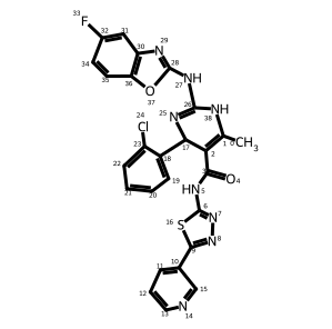 CC1=C(C(=O)Nc2nnc(-c3cccnc3)s2)C(c2ccccc2Cl)N=C(Nc2nc3cc(F)ccc3o2)N1